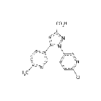 Cc1ccc(-c2cc(C(=O)O)nn2-c2ccc(Cl)nn2)cn1